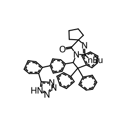 CCCCC1=NC2(CCCC2)C(=O)N1C(c1ccc(-c2ccccc2-c2nnn[nH]2)cc1)C(c1ccccc1)(c1ccccc1)c1ccccc1